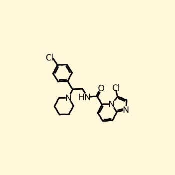 O=C(NCC(c1ccc(Cl)cc1)N1CCCCC1)c1cccc2ncc(Cl)n12